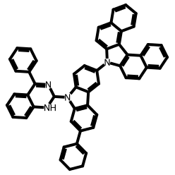 C1=CC(c2ccc3c4cc(-n5c6ccc7ccccc7c6c6c7ccccc7ccc65)ccc4n(C4N=C(c5ccccc5)c5ccccc5N4)c3c2)=CCC1